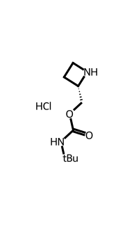 CC(C)(C)NC(=O)OC[C@@H]1CCN1.Cl